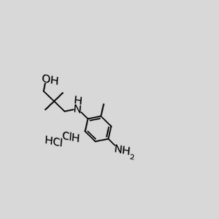 Cc1cc(N)ccc1NCC(C)(C)CO.Cl.Cl